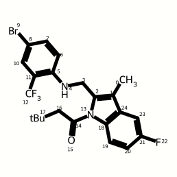 Cc1c(CNc2ccc(Br)cc2C(F)(F)F)n(C(=O)CC(C)(C)C)c2ccc(F)cc12